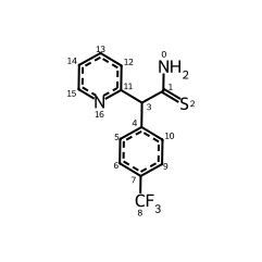 NC(=S)C(c1ccc(C(F)(F)F)cc1)c1ccccn1